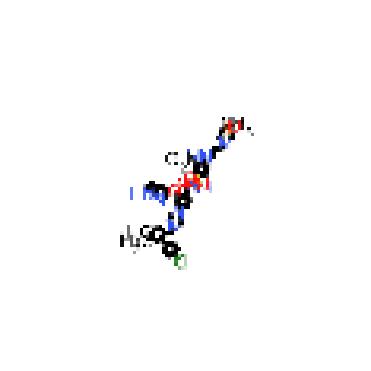 CC1(C)CCC(CN2CCN(c3ccc(C(=O)NS(=O)(=O)c4ccc(NCCCN5CCP(C)(=O)CC5)c([N+](=O)[O-])c4)c(Oc4cnc5[nH]ccc5c4)c3)CC2)=C(c2ccc(Cl)cc2)C1